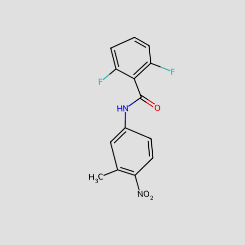 Cc1cc(NC(=O)c2c(F)cccc2F)ccc1[N+](=O)[O-]